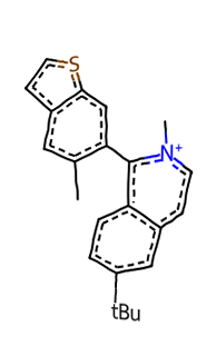 Cc1cc2ccsc2cc1-c1c2ccc(C(C)(C)C)cc2cc[n+]1C